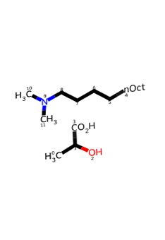 CC(O)C(=O)O.CCCCCCCCCCCCN(C)C